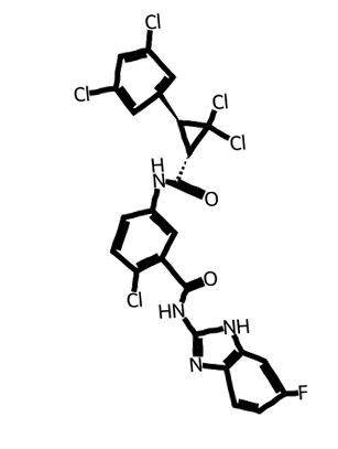 O=C(Nc1nc2ccc(F)cc2[nH]1)c1cc(NC(=O)[C@@H]2[C@@H](c3cc(Cl)cc(Cl)c3)C2(Cl)Cl)ccc1Cl